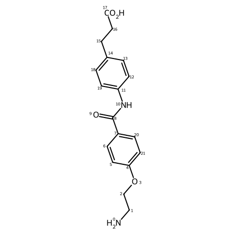 NCCOc1ccc(C(=O)Nc2ccc(CCC(=O)O)cc2)cc1